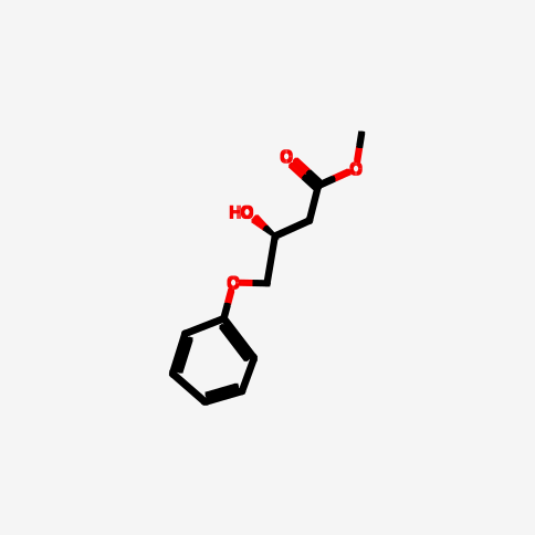 COC(=O)C[C@H](O)COc1ccccc1